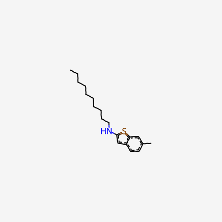 CCCCCCCCCCNc1cc2ccc(C)cc2s1